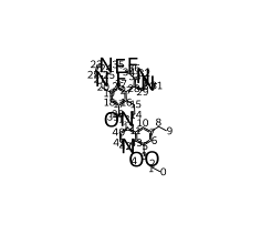 CCOC(=O)c1cc(CC)cc2c(N3CCc4c(cc(Cn5ccnc5)cc4-c4cn(C)nc4C(F)(F)F)C3=O)ccnc12